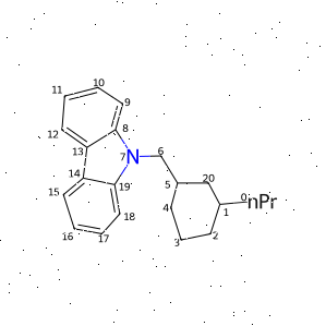 CCCC1CCCC(Cn2c3ccccc3c3ccccc32)C1